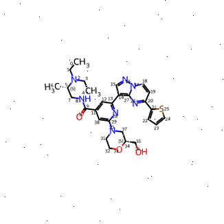 CCN(CC)[C@@H](C)CNC(=O)c1cc(-c2cnn3ccc(-c4cccs4)nc23)nc(N2CCO[C@H](CO)C2)c1